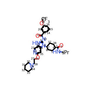 CC(C)NC(=O)[C@H]1CC[C@@H](n2/c(=N/C(=O)c3cccc(OC(F)(F)F)c3)[nH]c3cnc(OCCN4CCCCC4)cc32)CC1